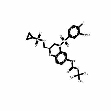 COc1cc(S(=O)(=O)N2C[C@H](CNS(=O)(=O)C3CC3)Oc3ccc(NC(=O)OC(C)(C)C(F)(F)F)cc32)ccc1F